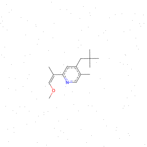 CO/C=C(/C)c1cc(CC(C)(C)C)c(C)cn1